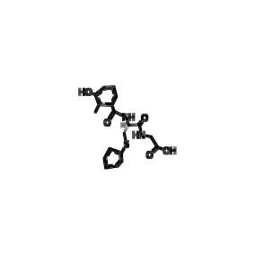 Cc1c(O)cccc1C(=O)N[C@@H](CSc1ccccc1)C(=O)NCC(=O)O